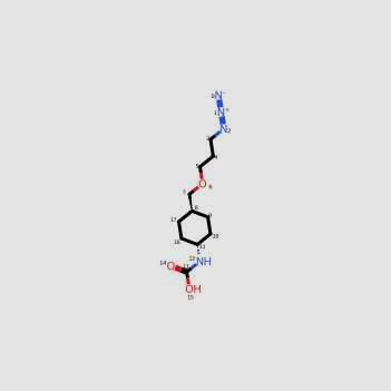 [N-]=[N+]=NCCCOC[C@H]1CC[C@H](NC(=O)O)CC1